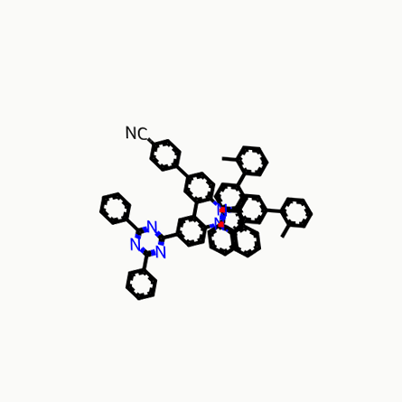 Cc1ccccc1-c1ccc2c(c1)c1ccccc1n2-c1ccc(-c2ccc(C#N)cc2)cc1-c1cc(-c2nc(-c3ccccc3)nc(-c3ccccc3)n2)ccc1-n1c2ccccc2c2cc(-c3ccccc3C)ccc21